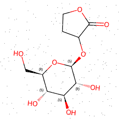 O=C1OCCC1O[C@@H]1O[C@H](CO)[C@@H](O)[C@H](O)[C@H]1O